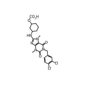 Cn1c(NC2CCCC(OC(=O)O)C2)nc2c1c(=O)n(Cc1ccc(Cl)c(Cl)c1)c(=O)n2C